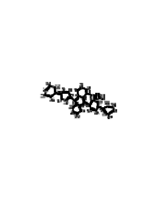 CCCCc1cccc2c(-c3ccc(-c4ccccc4)cc3)c3ccccc3c(-c3ccc(-c4ccccc4)cc3)c12